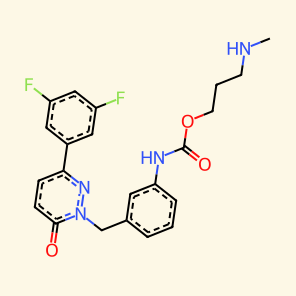 CNCCCOC(=O)Nc1cccc(Cn2nc(-c3cc(F)cc(F)c3)ccc2=O)c1